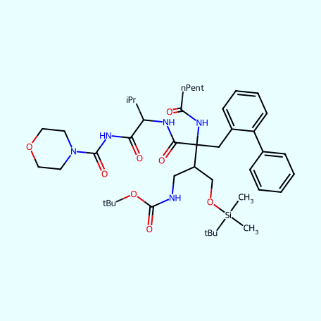 CCCCCC(=O)NC(Cc1ccccc1-c1ccccc1)(C(=O)NC(C(=O)NC(=O)N1CCOCC1)C(C)C)C(CNC(=O)OC(C)(C)C)CO[Si](C)(C)C(C)(C)C